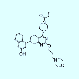 C=CC(=O)N1CCN(c2nc(OCCCN3CCOCC3)nc3c2CCC(c2cc(O)cc4ccccc24)C3)CC1